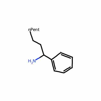 CCCCCCCC(N)c1[c]cccc1